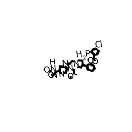 CO[C@H](C)Cn1c(CN2CCC(c3cccc4c3OC(c3ccc(Cl)cc3P)O4)CC2)nc2cc(-c3noc(=O)[nH]3)ncc21